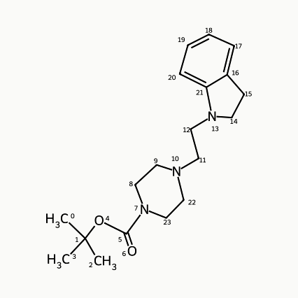 CC(C)(C)OC(=O)N1CCN(CCN2CCc3ccccc32)CC1